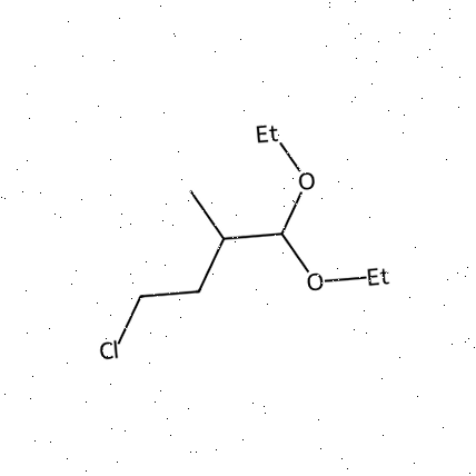 CCOC(OCC)C(C)CCCl